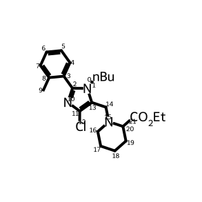 CCCCn1c(-c2ccccc2C)nc(Cl)c1CN1CCCCC1C(=O)OCC